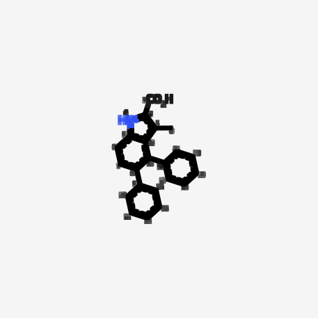 Cc1c(C(=O)O)[nH]c2ccc(-c3ccccc3)c(-c3ccccc3)c12